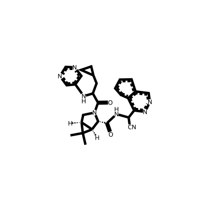 CC1(C)[C@@H]2[C@@H](C(=O)NC(C#N)c3nncc4ccccc34)N(C(=O)C(CC3CC3)Nc3cncnc3)C[C@@H]21